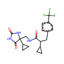 O=C1NC(=O)C(CNC(=O)C(Cc2ccc(C(F)(F)F)cc2)C2CC2)(C2CC2)N1